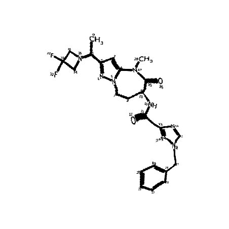 CC(c1cc2n(n1)CC[C@H](NC(=O)c1ncn(Cc3ccccc3)n1)C(=O)N2C)N1CC(F)(F)C1